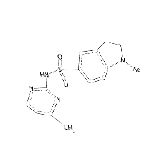 CC(=O)N1CCc2cc(S(=O)(=O)Nc3nccc(C)n3)ccc21